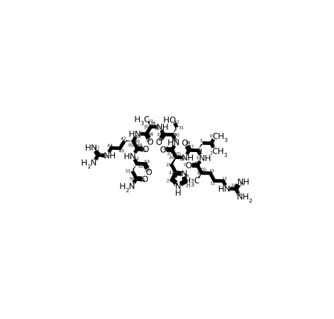 CC(C)C[C@H](NC(=O)[C@@H](C)CCCNC(=N)N)C(=O)N[C@@H](Cc1c[nH]cn1)C(=O)N[C@@H](CO)C(=O)N[C@@H](C)C(=O)N[C@@H](CCCNC(=N)N)C(=O)N[C@H](C=O)CC(N)=O